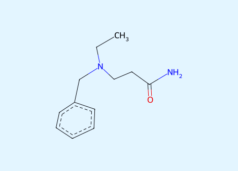 CCN(CCC(N)=O)Cc1ccccc1